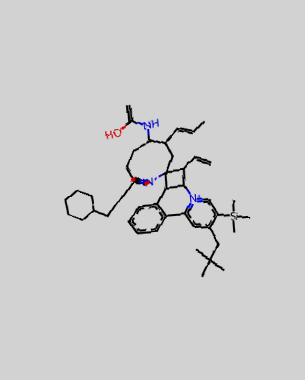 C=CC1C2C(c3ccccc3-c3cc(CC(C)(C)C)c([Si](C)(C)C)c[n+]32)C12CC(C=CC)C(NC(=C)O)CCc1cc(CC3CCCCC3)cc[n+]12